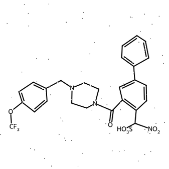 O=C(c1cc(-c2ccccc2)ccc1C([N+](=O)[O-])S(=O)(=O)O)N1CCN(Cc2ccc(OC(F)(F)F)cc2)CC1